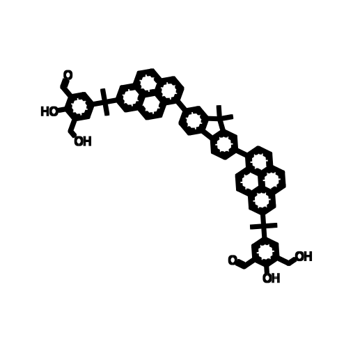 CC(C)(c1cc(C=O)c(O)c(CO)c1)c1cc2ccc3ccc(-c4ccc5c(c4)C(C)(C)c4cc(-c6ccc7ccc8cc(C(C)(C)c9cc(C=O)c(O)c(CO)c9)cc9ccc6c7c89)ccc4-5)c4ccc(c1)c2c34